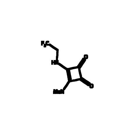 CNc1c(NCC(F)(F)F)c(=O)c1=O